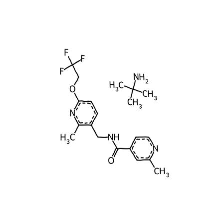 CC(C)(C)N.Cc1cc(C(=O)NCc2ccc(OCC(F)(F)F)nc2C)ccn1